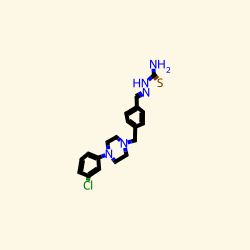 NC(=S)NN=Cc1ccc(CN2CCN(c3cccc(Cl)c3)CC2)cc1